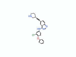 Clc1cc(Nc2ncnc3ccc(C#CC4CCCNC4)cc23)ccc1Oc1ccccc1